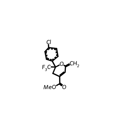 C=C1C=C(C(=O)OC)CC(c2ccc(Cl)cc2)(C(F)(F)F)O1